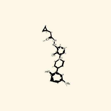 COc1ccc(OC)c(C2CCN(c3cnnc(NNC(=O)CC4CC4)c3Cl)CC2)c1